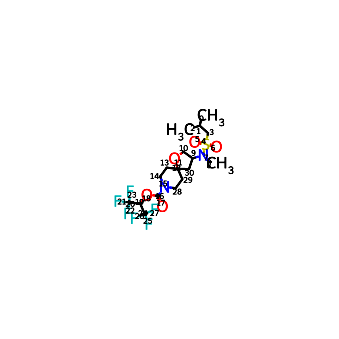 CC(C)CS(=O)(=O)N(C)C1COC2(CCN(C(=O)OC(C(F)(F)F)C(F)(F)F)CC2)C1